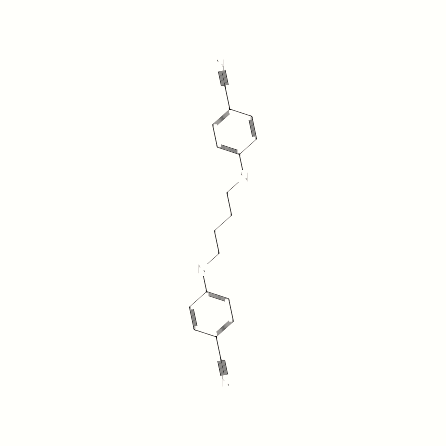 N#Cc1ccc(NCCCCNc2ccc(C#N)cc2)cc1